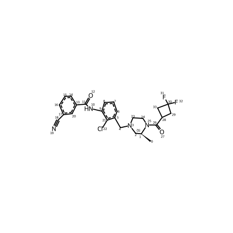 C[C@H]1CN(Cc2cccc(NC(=O)c3cccc(C#N)c3)c2Cl)CCN1C(=O)C1CC(F)(F)C1